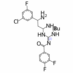 CCC(C)N/C(=N/C(=O)c1ccc(F)c(F)c1)NC(N)CC(N)c1cc(F)cc(Cl)c1